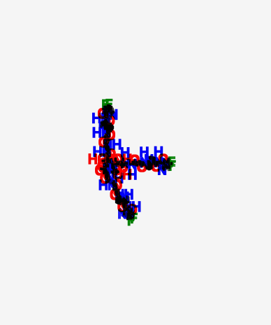 N#CC1CC(F)(F)CN1C(=O)CNC(=O)c1ccnc2c(NC(=O)CCC(=O)NCCNC(=O)CCC(C(=O)O)N3CN(CC(=O)O)CN(C(CCC(=O)NCCNC(=O)CCC(=O)Nc4cccc5c(C(=O)NCC(=O)N6CC(F)(F)C[C@H]6C#N)ccnc45)C(=O)O)CN(C(CCC(=O)NCCNC(=O)CCC(=O)Nc4cccc5c(C(=O)NCC(=O)N6CC(F)(F)C[C@H]6C#N)ccnc45)C(=O)O)C3)cccc12